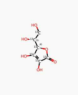 O=[13C]1O[13C@H]([13C@@H](O)[13CH2]O)[13C](O)=[13C]1O